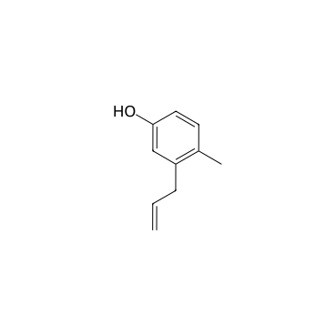 C=CCc1cc(O)ccc1C